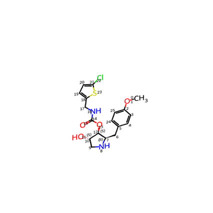 COc1ccc(C[C@H]2NC[C@H](O)[C@H]2OC(=O)NCc2ccc(Cl)s2)cc1